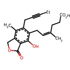 CCC#CCc1c(C)c2c(c(O)c1CC=C(C)CCC(=O)O)C(=O)OC2